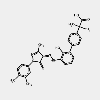 CC1=NN(c2ccc(C)c(C)c2)C(=O)/C1=N\Nc1cccc(-c2ccc(C(C)(C)C(=O)O)cc2)c1O